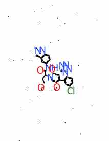 COCCC(C(=O)Nc1ccc2nn(C)cc2c1)n1cc(OC)c(-c2cc(Cl)ccc2-n2cnnn2)cc1=O